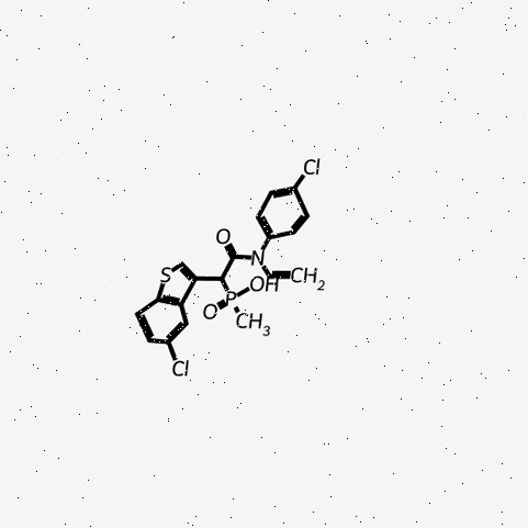 C=CN(C(=O)C(c1csc2ccc(Cl)cc12)P(C)(=O)O)c1ccc(Cl)cc1